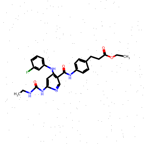 CCNC(=O)Nc1cc(Nc2cccc(F)c2)c(C(=O)Nc2ccc(CCC(=O)OCC)cc2)cn1